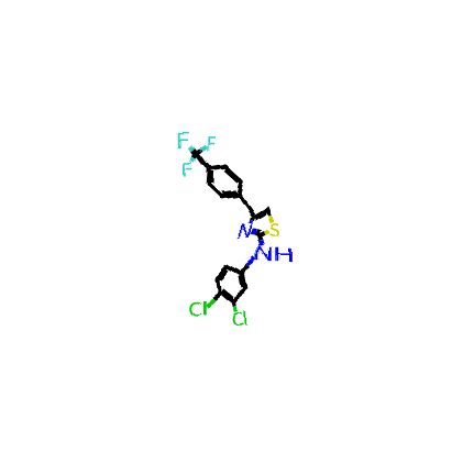 FC(F)(F)c1ccc(-c2csc(Nc3ccc(Cl)c(Cl)c3)n2)cc1